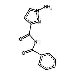 Nn1ccc(C(=O)NC(=O)c2ccccc2)n1